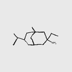 CCC1(N)CC2CC(C(C)C)CC(C)(C2)C1